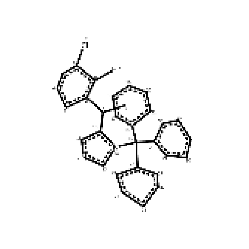 CC(c1cccc(Cl)c1F)c1cncn1C(c1ccccc1)(c1ccccc1)c1ccccc1